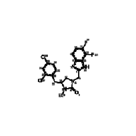 CCN1C(=O)N(Cc2nc3ccc(F)c(F)c3[nH]2)CC1Cc1ccc(Cl)cc1Cl